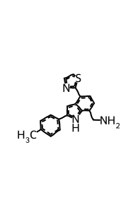 Cc1ccc(-c2cc3c(-c4nccs4)ccc(CN)c3[nH]2)cc1